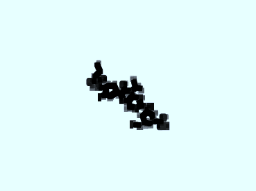 CCCS(=O)(=O)Nc1ccc(-c2nc3cnc(N[C@H]4C[C@@H](CF)CN(C(=O)O)C4)nc3n(C(C)C)c2=O)cc1F